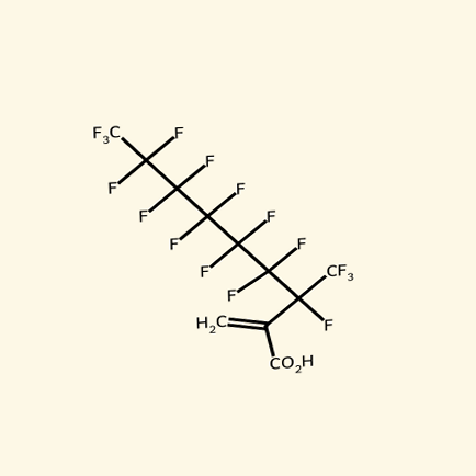 C=C(C(=O)O)C(F)(C(F)(F)F)C(F)(F)C(F)(F)C(F)(F)C(F)(F)C(F)(F)C(F)(F)F